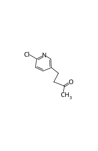 CC(=O)CCc1ccc(Cl)nc1